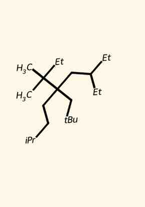 [CH2]CC(C)(C)C(CCC(C)C)(CC(CC)CC)CC(C)(C)C